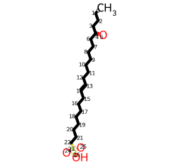 CCCCC(=O)CCCCCCC/C=C/CCCCCCCCS(=O)(=O)O